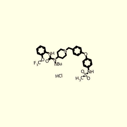 CCCCN(C(=O)Nc1ccccc1OC(F)(F)F)C1CCN(Cc2ccc(Oc3ccc(NS(C)(=O)=O)cc3)cc2)CC1.Cl